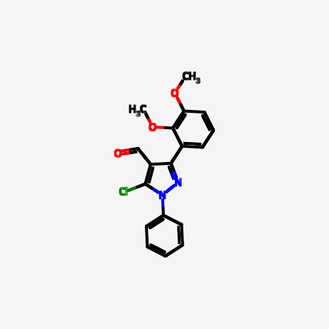 COc1cccc(-c2nn(-c3ccccc3)c(Cl)c2C=O)c1OC